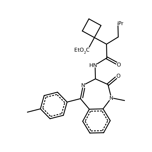 CCOC(=O)C1(C(CC(C)C)C(=O)NC2N=C(c3ccc(C)cc3)c3ccccc3N(C)C2=O)CCC1